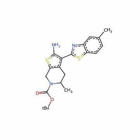 Cc1ccc2sc(-c3c(N)sc4c3CC(C)N(C(=O)OC(C)(C)C)C4)nc2c1